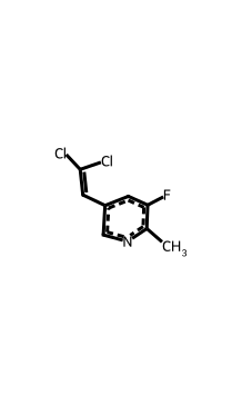 Cc1ncc(C=C(Cl)Cl)cc1F